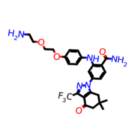 CC1(C)CC(=O)c2c(C(F)(F)F)nn(-c3ccc(C(N)=O)c(Nc4ccc(OCCOCCN)cc4)c3)c2C1